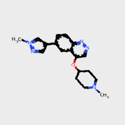 CN1CCC(Oc2cnnc3ccc(-c4cnn(C)c4)cc23)CC1